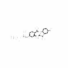 O=C(O)NCc1ccc2c(=O)n3c(nc2c1)C(=O)c1cc(F)ccc1-3